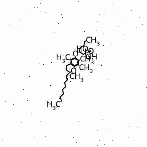 CCCCCCC/C=C/C1(C)CCc2c(C)c(OC(CCCC)CP(=O)(O)O)c(C)c(C)c2O1